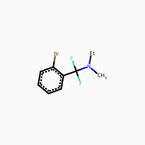 CCN(C)C(F)(F)c1ccccc1Br